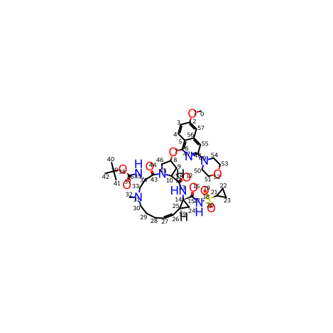 COc1ccc2c(OC3C[C@H]4C(=O)N[C@]5(C(=O)NS(=O)(=O)C6CC6)C[C@H]5/C=C\CCCN(C)C[C@H](NC(=O)OC(C)(C)C)C(=O)N4C3)nc(N3CCOCC3)cc2c1